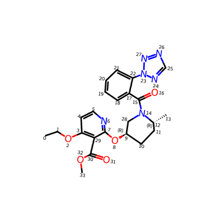 CCOc1ccnc(O[C@@H]2CC[C@@H](C)N(C(=O)c3ccccc3-n3ncnn3)C2)c1C(=O)OC